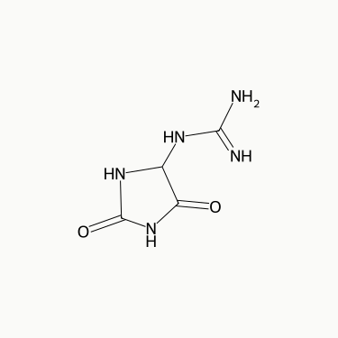 N=C(N)NC1NC(=O)NC1=O